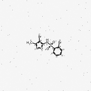 Cc1noc(NS(=O)(=O)c2ccccc2Br)c1Br